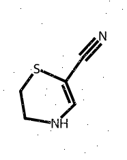 N#CC1=CNCCS1